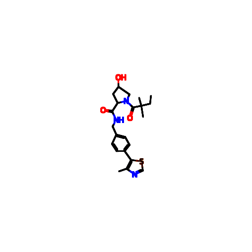 CCC(C)(C)C(=O)N1CC(O)CC1C(=O)NCc1ccc(-c2scnc2C)cc1